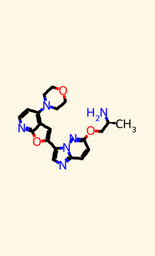 C[C@H](N)COc1ccc2ncc(-c3cc4c(N5CCOCC5)ccnc4o3)n2n1